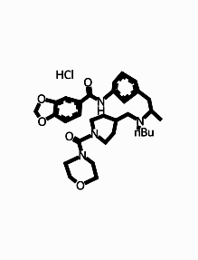 CCCCN(CC1CCN(C(=O)N2CCOCC2)CC1)C(C)Cc1cccc(NC(=O)c2ccc3c(c2)OCO3)c1.Cl